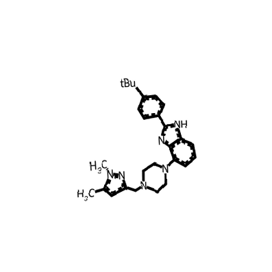 Cc1cc(CN2CCN(c3cccc4[nH]c(-c5ccc(C(C)(C)C)cc5)nc34)CC2)nn1C